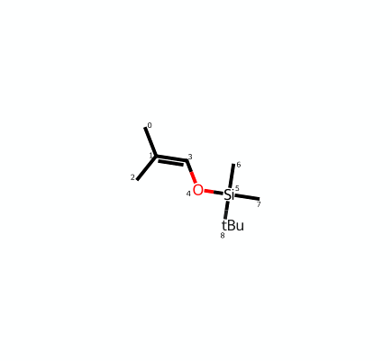 CC(C)=CO[Si](C)(C)C(C)(C)C